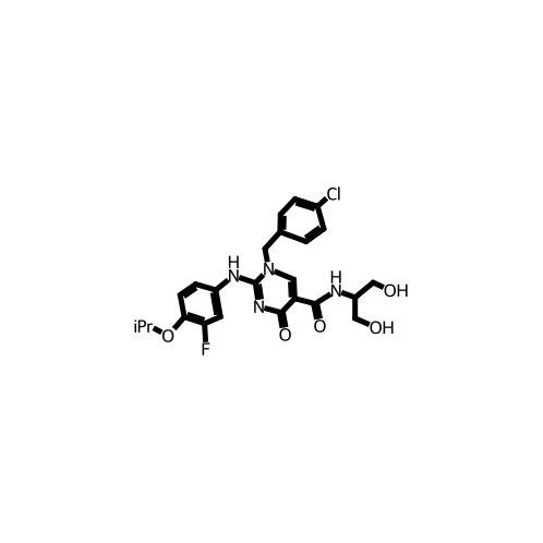 CC(C)Oc1ccc(Nc2nc(=O)c(C(=O)NC(CO)CO)cn2Cc2ccc(Cl)cc2)cc1F